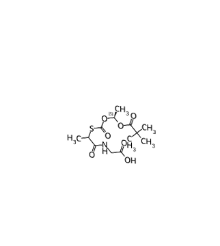 CC(SC(=O)O[C@@H](C)OC(=O)C(C)(C)C)C(=O)NCC(=O)O